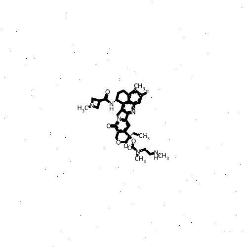 CC[C@]1(OC(=O)N(C)CCNC)C(=O)OCc2c1cc1n(c2=O)Cc2c-1nc1cc(F)c(C)c3c1c2[C@H](NC(=O)C1CN(C)C1)CC3